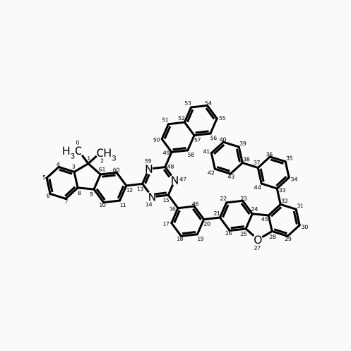 CC1(C)c2ccccc2-c2ccc(-c3nc(-c4cccc(-c5ccc6c(c5)oc5cccc(-c7cccc(-c8ccccc8)c7)c56)c4)nc(-c4ccc5ccccc5c4)n3)cc21